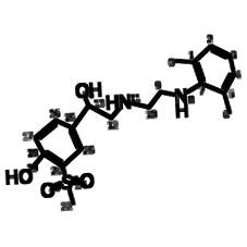 Cc1cccc(C)c1NCCNCC(O)c1ccc(O)c(S(C)(=O)=O)c1